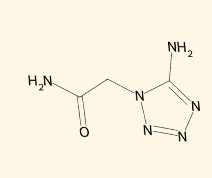 NC(=O)Cn1nnnc1N